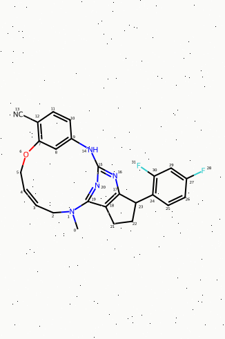 CN1C/C=C\COc2cc(ccc2C#N)Nc2nc3c(c1n2)CCC3c1ccc(F)cc1F